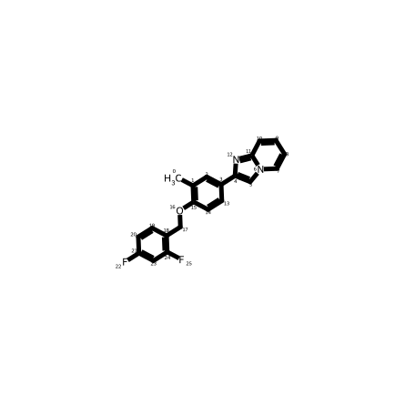 Cc1cc(-c2cn3ccccc3n2)ccc1OCc1ccc(F)cc1F